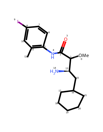 COC(C(=O)Nc1ccc(I)cc1C)[C@H](N)CC1CCCCC1